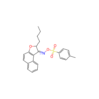 CCCCC1Oc2ccc3ccccc3c2/C1=N/OS(=O)(=O)c1ccc(C)cc1